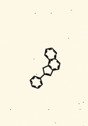 C1=C(c2ccccc2)Cc2c1ccc1ccccc21